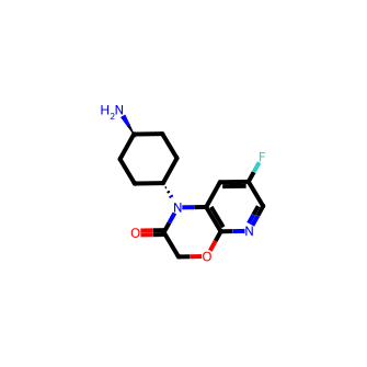 N[C@H]1CC[C@H](N2C(=O)COc3ncc(F)cc32)CC1